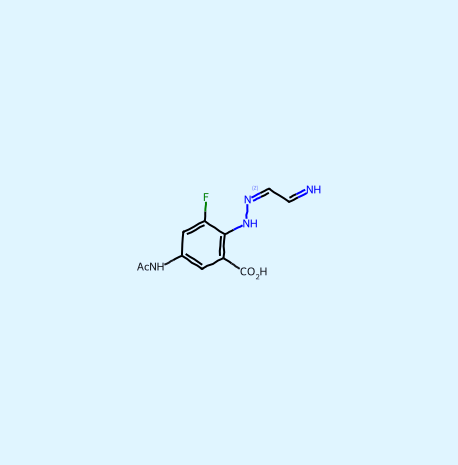 CC(=O)Nc1cc(F)c(N/N=C\C=N)c(C(=O)O)c1